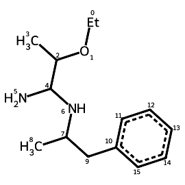 CCOC(C)C(N)NC(C)Cc1ccccc1